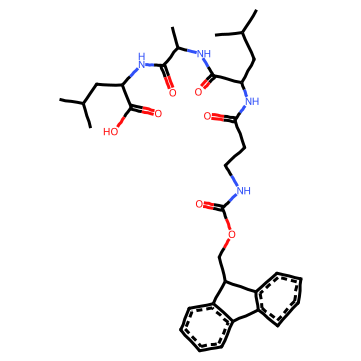 CC(C)CC(NC(=O)C(C)NC(=O)C(CC(C)C)NC(=O)CCNC(=O)OCC1c2ccccc2-c2ccccc21)C(=O)O